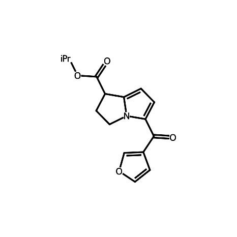 CC(C)OC(=O)C1CCn2c(C(=O)c3ccoc3)ccc21